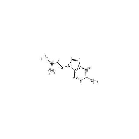 Cc1ccc2c(ccn2CCN(C)C)n1